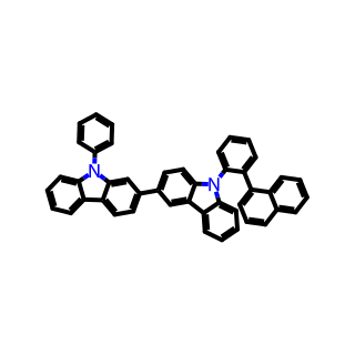 c1ccc(-n2c3ccccc3c3ccc(-c4ccc5c(c4)c4ccccc4n5-c4ccccc4-c4cccc5ccccc45)cc32)cc1